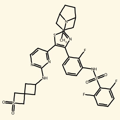 CN1CC2CCC(C1)N2c1nc(-c2cccc(NS(=O)(=O)c3c(F)cccc3F)c2F)c(-c2ccnc(NC3CC4(C3)CS(=O)(=O)C4)n2)s1